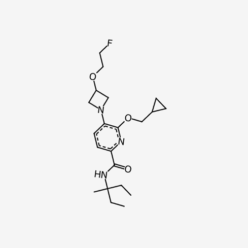 CCC(C)(CC)NC(=O)c1ccc(N2CC(OCCF)C2)c(OCC2CC2)n1